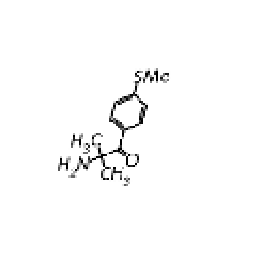 CSc1ccc(C(=O)C(C)(C)N)cc1